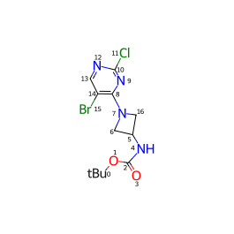 CC(C)(C)OC(=O)NC1CN(c2nc(Cl)ncc2Br)C1